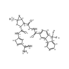 CC12CC(C(=O)Nc3cc(C(=N)N)cs3)N(C(=O)CNC(=O)c3ccc4c(c3)-c3ccccc3C4(F)F)C1C2